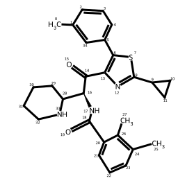 Cc1cccc(-c2sc(C3CC3)nc2C(=O)[C@@H](NC(=O)c2cccc(C)c2C)C2CCCCN2)c1